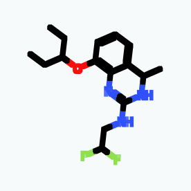 CCC(CC)Oc1cccc2c1N=C(NCC(F)F)NC2C